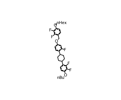 CCCCCCOc1ccc(COc2ccc(C3CCC(c4ccc(OCCCC)c(F)c4F)CC3)c(F)c2)c(F)c1F